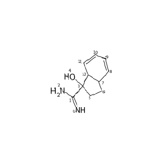 N=C(N)C1(O)CCC2C=[C]C=CC21